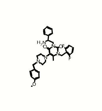 COc1ccc(CN2CCN(c3c(C)n(Cc4c(F)cccc4F)c(=O)n(CC(N)c4ccccc4)c3=O)CC2)cc1